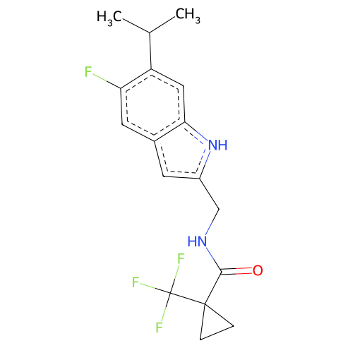 CC(C)c1cc2[nH]c(CNC(=O)C3(C(F)(F)F)CC3)cc2cc1F